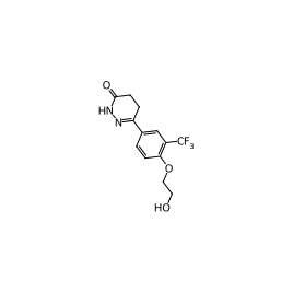 O=C1CCC(c2ccc(OCCO)c(C(F)(F)F)c2)=NN1